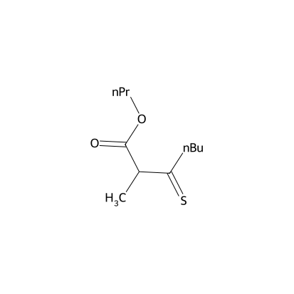 CCCCC(=S)C(C)C(=O)OCCC